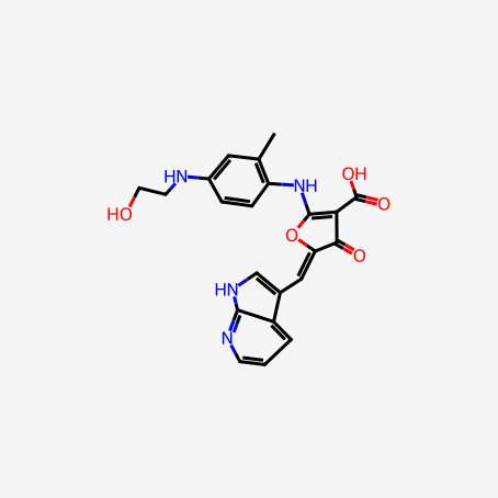 Cc1cc(NCCO)ccc1NC1=C(C(=O)O)C(=O)C(=Cc2c[nH]c3ncccc23)O1